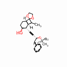 CC1[C@H]2[C@H](C#C[C@@H](Cc3ccccc3)O[Si](C)(C)C(C)(C)C)[C@@H](O)CC[C@H]2C12OCCO2